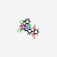 COc1cccc(OC)c1-c1ccc(C[C@H](NC(=O)c2c(Cl)cccc2Cl)C(=O)Cl)cc1